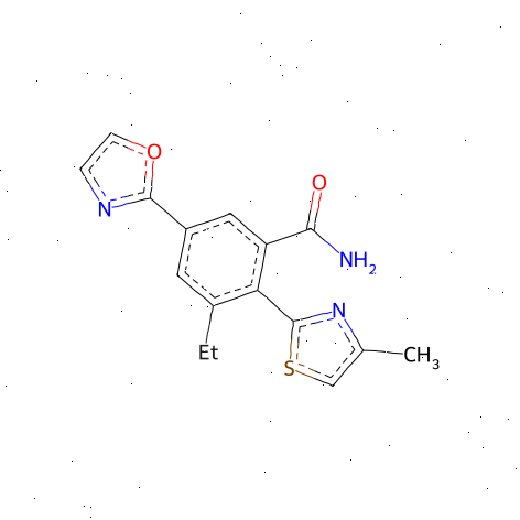 CCc1cc(-c2ncco2)cc(C(N)=O)c1-c1nc(C)cs1